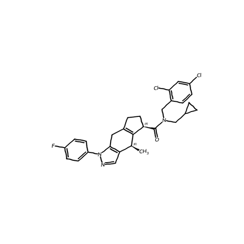 C[C@@H]1C2=C(CC[C@H]2C(=O)N(Cc2ccc(Cl)cc2Cl)CC2CC2)Cc2c1cnn2-c1ccc(F)cc1